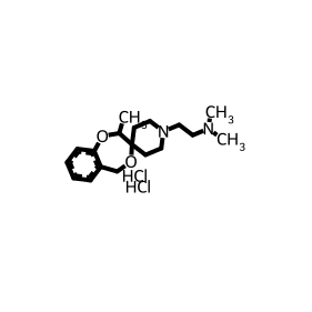 CC1Oc2ccccc2COC12CCN(CCN(C)C)CC2.Cl.Cl